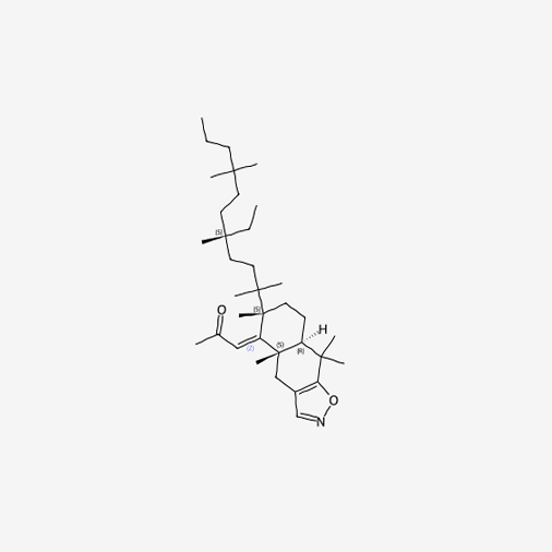 CCCC(C)(C)CC[C@](C)(CC)CCC(C)(C)[C@]1(C)CC[C@H]2C(C)(C)c3oncc3C[C@]2(C)/C1=C/C(C)=O